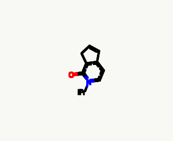 CC(C)n1ccc2c(c1=O)CC=C2